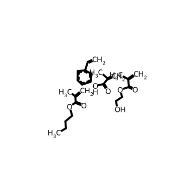 C=C(C)C(=O)O.C=C(C)C(=O)OCCCC.C=C(C)C(=O)OCCO.C=Cc1ccccc1